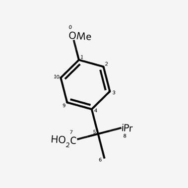 COc1ccc(C(C)(C(=O)O)C(C)C)cc1